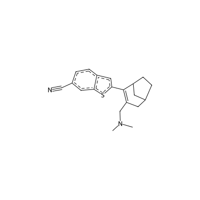 CN(C)CC1=C(c2cc3ccc(C#N)cc3s2)C2CCC(C1)C2